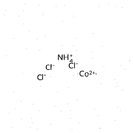 [Cl-].[Cl-].[Cl-].[Co+2].[NH4+]